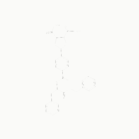 COC(=O)C1SC(c2ccc(C(=O)NC(Cc3ccccc3)C(=O)OCc3ccccc3)cc2)SC1C(=O)OC